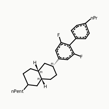 CCCCCC1CC[C@@H]2C[C@H](c3cc(F)c(-c4ccc(CCC)cc4)c(F)c3)CC[C@@H]2C1